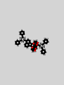 c1ccc(-c2nc(-c3ccccc3)nc(-c3ccc4c5c(cccc35)C35c6ccccc6-c6ccccc6C43c3ccc(-c4nc(-c6ccccc6)nc(-c6ccccc6)n4)c4cccc5c34)n2)cc1